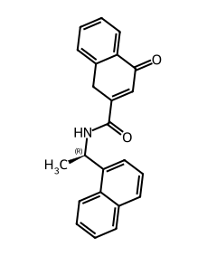 C[C@@H](NC(=O)C1=CC(=O)c2ccccc2C1)c1cccc2ccccc12